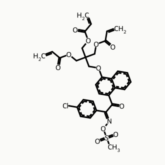 C=CC(=O)OCC(COC(=O)C=C)(COC(=O)C=C)COc1ccc(C(=O)/C(=N/OS(C)(=O)=O)c2ccc(Cl)cc2)c2ccccc12